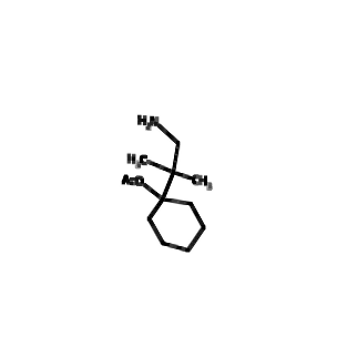 CC(=O)OC1(C(C)(C)CN)CCCCC1